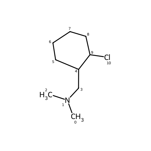 CN(C)CC1CCCCC1Cl